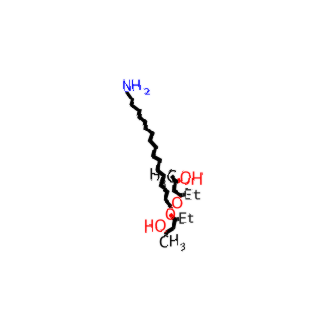 CCC(CC(C)O)OC(CCCCCCCCCCCCCCCCCN)OC(CC)CC(C)O